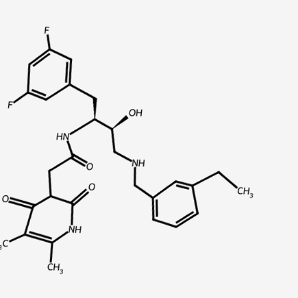 CCc1cccc(CNC[C@H](O)[C@H](Cc2cc(F)cc(F)c2)NC(=O)CC2C(=O)NC(C)=C(C)C2=O)c1